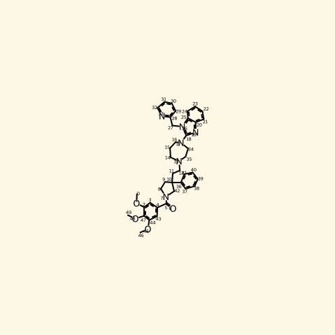 COc1cc(C(=O)N2CCC(CCN3CCCN(c4nc5ccccc5n4Cc4ccccn4)CC3)(c3ccccc3)C2)cc(OC)c1OC